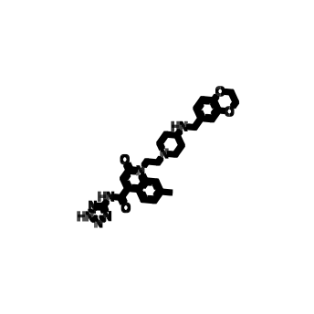 Cc1ccc2c(C(=O)Nc3nn[nH]n3)cc(=O)n(CCN3CCC(NCc4ccc5c(c4)OCCO5)CC3)c2c1